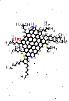 CCCCCCC1CC(CCCCCC)C2SC3=C(C4=NC=C5C=C6C=C7CC8c9c(c%10c%11c(c%12c%13c%10c%10c9=C7C7C9=C%14C%15=C%16C(=C3C(CCCC(C)C)=C3Cc%17c(CCCC(C)C)c(O)c%18cc%19c%20c%21c%18c%17C(C3%16)C%14C%21C(C%13=C%20C3C(=C%19CCCC(C)C)C=c%13[nH]cc(CC)c%13=C%123)C=%109)C4C5C%15C67)CC(CCC(C)C)C%11)C3CCC(CCCCC(C)C)C(CCCCCC)C3C8CSC(C)C)C2C1